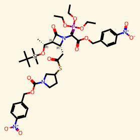 CCOP(OCC)(OCC)=C(C(=O)OCc1ccc([N+](=O)[O-])cc1)N1C(=O)[C@H]([C@@H](C)O[Si](C)(C)C(C)(C)C)[C@H]1CC(=O)SC1CCN(C(=O)OCc2ccc([N+](=O)[O-])cc2)C1